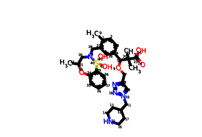 Cc1ccc(C(OCc2cn(CC3CCNCC3)nn2)C(C)(C)C(=O)O)cc1CN1CC(C)Oc2ccccc2S1(O)O